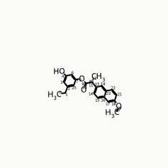 CCc1cc(O)cc(OC(=O)[C@H](C)c2ccc3cc(OC)ccc3c2)c1